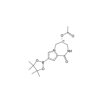 CC(=O)O[C@@H]1CNC(=O)c2cc(B3OC(C)(C)C(C)(C)O3)cn2C1